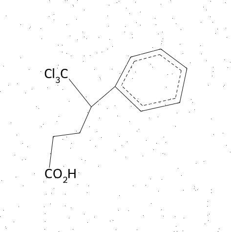 O=C(O)CCC(c1ccccc1)C(Cl)(Cl)Cl